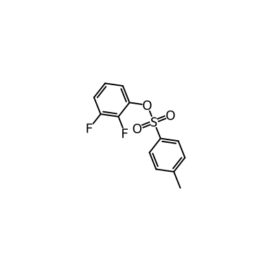 Cc1ccc(S(=O)(=O)Oc2cccc(F)c2F)cc1